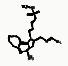 CCOCc1nc2c(N)nc3c(c2n1CCCCS(=O)(=O)NC)CCCC3